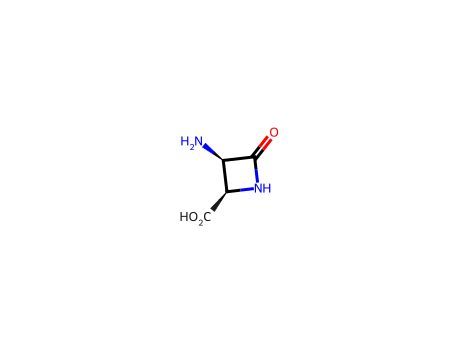 N[C@H]1C(=O)N[C@H]1C(=O)O